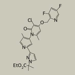 CCOC(=O)C(C)(C)n1ccc(-c2cc(-n3c(C)cc(OCc4ncc(F)cc4F)c(Cl)c3=O)c(C)cn2)n1